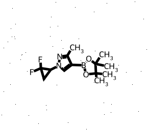 Cc1nn(C2CC2(F)F)cc1B1OC(C)(C)C(C)(C)O1